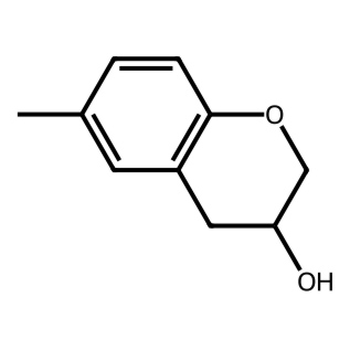 Cc1ccc2c(c1)CC(O)CO2